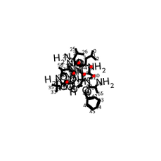 CC(C)C[C@@H](N)C(=O)N(C)[C@](N(C)C(=O)[C@@H](C)N)(N(C)C(=O)[C@H](N)C(C)C)N(NC(=O)OC(C)(C)C)[C@@](C(=O)OCc1ccccc1)([C@@H](C(C)C)N(C)C(=O)[C@H](N)C(C)C)N(C)C(=O)C(C)N